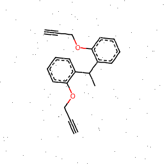 C#CCOc1ccccc1C(C)c1ccccc1OCC#C